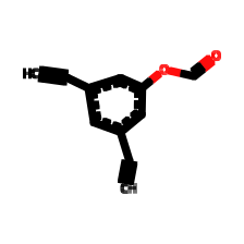 C#Cc1cc(C#C)cc(OC=O)c1